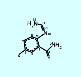 C=C(N)c1cc(C)ccc1/N=C\N